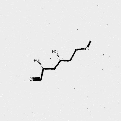 COCC[C@@H](O)C[C@@H](O)C=O